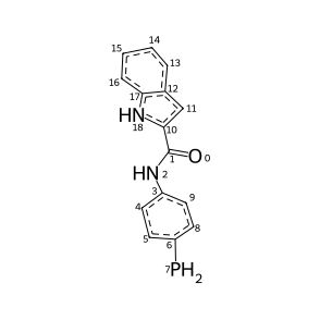 O=C(Nc1ccc(P)cc1)c1cc2ccccc2[nH]1